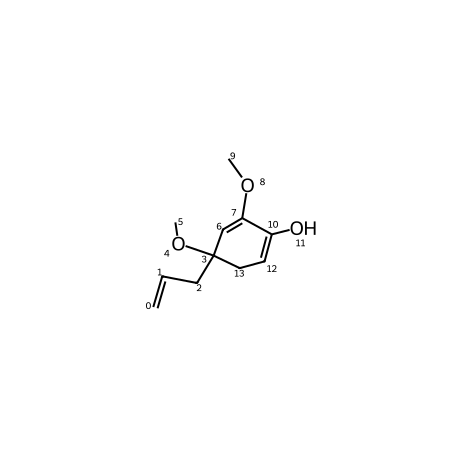 C=CCC1(OC)C=C(OC)C(O)=CC1